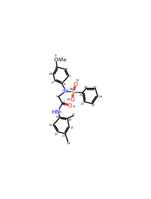 COc1ccc(N(CC(=O)Nc2ccc(C)cc2C)S(=O)(=O)c2ccccc2)cc1